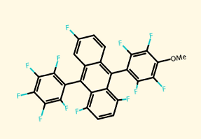 COc1c(F)c(F)c(-c2c3ccc(F)cc3c(-c3c(F)c(F)c(F)c(F)c3F)c3c(F)ccc(F)c23)c(F)c1F